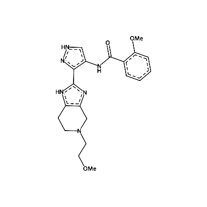 COCCN1CCc2[nH]c(-c3n[nH]cc3NC(=O)c3ccccc3OC)nc2C1